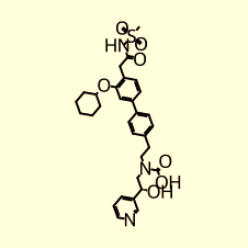 CS(=O)(=O)NC(=O)Cc1ccc(-c2ccc(CCN(C[C@@H](O)c3cccnc3)C(=O)O)cc2)cc1OC1CCCCC1